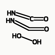 N=C=O.N=C=O.OO